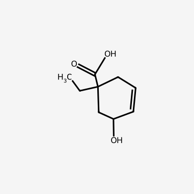 CCC1(C(=O)O)CC=CC(O)C1